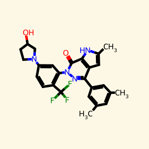 Cc1cc(C)cc(-c2nn(-c3cc(N4CCC(O)C4)ccc3C(F)(F)F)c(=O)c3[nH]c(C)cc23)c1